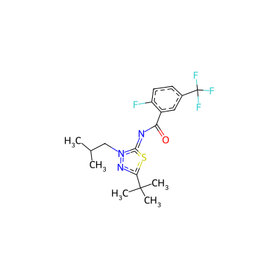 CC(C)Cn1nc(C(C)(C)C)sc1=NC(=O)c1cc(C(F)(F)F)ccc1F